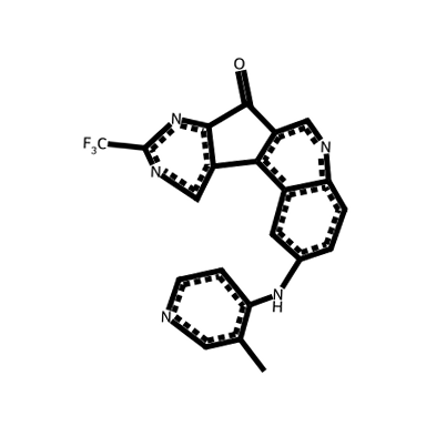 Cc1cnccc1Nc1ccc2ncc3c(c2c1)-c1cnc(C(F)(F)F)nc1C3=O